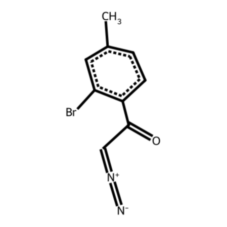 Cc1ccc(C(=O)C=[N+]=[N-])c(Br)c1